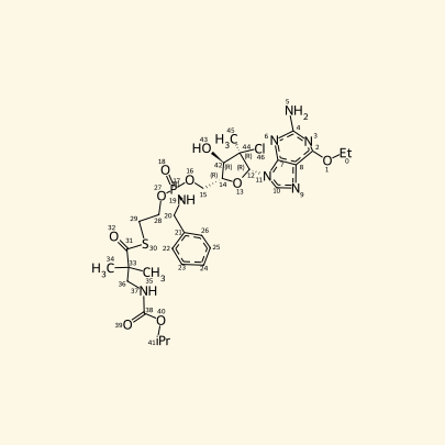 CCOc1nc(N)nc2c1ncn2[C@@H]1O[C@H](CO[P@](=O)(NCc2ccccc2)OCCSC(=O)C(C)(C)CNC(=O)OC(C)C)[C@@H](O)[C@@]1(C)Cl